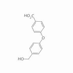 O=C(O)c1ccc(Oc2ccc(CO)cc2)cc1